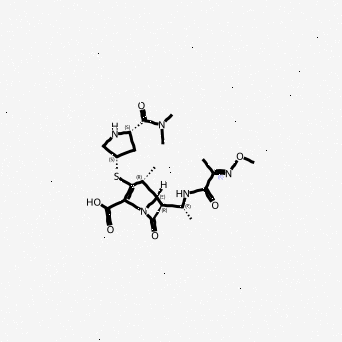 CO/N=C(\C)C(=O)N[C@H](C)[C@H]1C(=O)N2C(C(=O)O)=C(S[C@@H]3CN[C@H](C(=O)N(C)C)C3)[C@H](C)[C@H]12